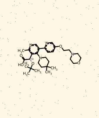 Cc1ncc(-c2ccc(OCCN3CCOCC3)cn2)c(N2CCC(C)(C)CC2)c1[C@H](OC(C)(C)C)C(=O)O